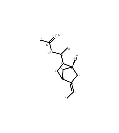 CC=C1C[C@@H]2CC1CC2C(C)OC(C)=O